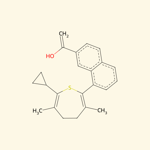 C=C(O)c1ccc2cccc(C3=C(C)CCC(C)=C(C4CC4)S3)c2c1